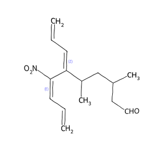 C=C/C=C(\C(=C/C=C)[N+](=O)[O-])C(C)CC(C)CC=O